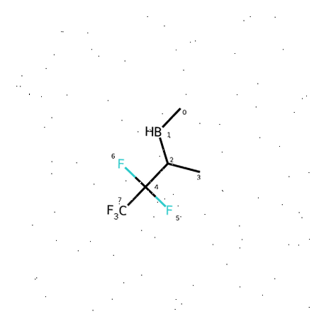 CBC(C)C(F)(F)C(F)(F)F